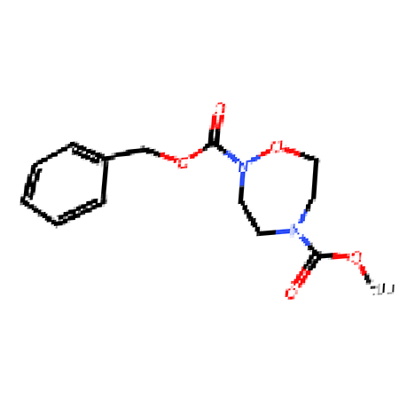 CC(C)(C)OC(=O)N1CCON(C(=O)OCc2ccccc2)CC1